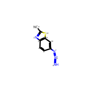 N#Cc1nc2ccc(N=[N+]=N)cc2s1